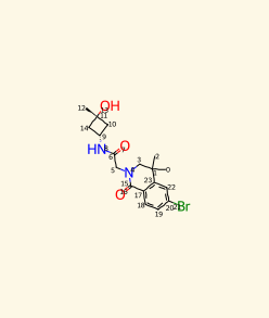 CC1(C)CN(CC(=O)N[C@H]2C[C@@](C)(O)C2)C(=O)c2ccc(Br)cc21